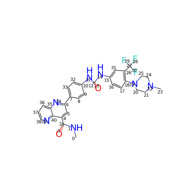 CNC(=O)c1cc(-c2ccc(NC(=O)Nc3ccc(N4CCN(C)CC4)c(C(F)(F)F)c3)cc2)nc2cccnc12